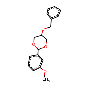 COc1cccc(C2OCC(OCc3ccccc3)CO2)c1